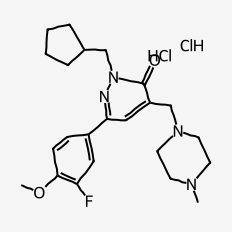 COc1ccc(-c2cc(CN3CCN(C)CC3)c(=O)n(CC3CCCC3)n2)cc1F.Cl.Cl